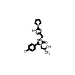 O=c1n(Cc2n[nH]c(N3CCCC3)n2)nc(-c2ccc(Cl)cc2)n1C[C@H](O)C(F)(F)F